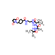 CCC(C)C(=O)N[C@H](C)C(=O)N[C@@H](C(=O)NCCCNC(=O)C1CCC(CN2C(=O)C=CC2=O)CC1)C(C)C